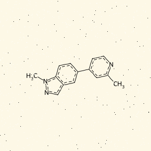 Cc1cc(-c2ccc3c(cnn3C)c2)ccn1